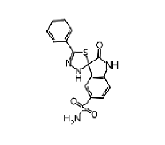 NS(=O)(=O)c1ccc2c(c1)C1(NN=C(c3ccccc3)S1)C(=O)N2